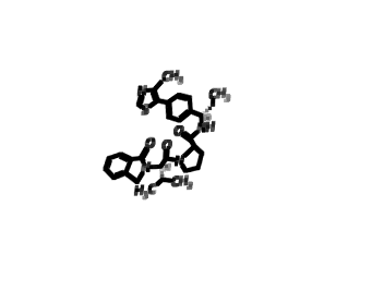 CC[C@H](NC(=O)C1CCCN1C(=O)[C@H](C(C)C)N1Cc2ccccc2C1=O)c1ccc(-c2scnc2C)cc1